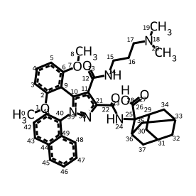 COc1cccc(OC)c1-c1c(C(=O)NCCCN(C)C)c(C(=O)NC2(C(=O)O)C3CC4CC(C3)CC2C4)nn1-c1cccc2ccccc12